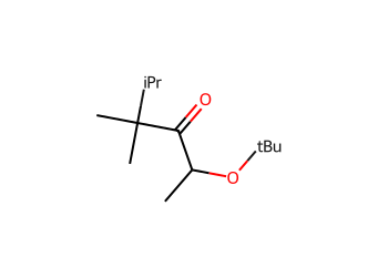 CC(OC(C)(C)C)C(=O)C(C)(C)C(C)C